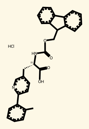 Cc1ccccc1-c1ccc(C[C@H](NC(=O)OCC2c3ccccc3-c3ccccc32)C(=O)O)cn1.Cl